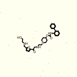 O=C(Nc1ccccc1-c1ccccc1)OC1CCN(CCNCC(=O)c2ccc(CNCCO)o2)CC1